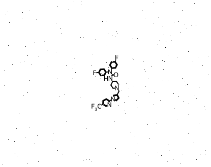 O=C(NC1CCN(Cc2ccn(-c3ccc(C(F)(F)F)cn3)c2)CC1)N(c1ccc(F)cc1)c1ccc(F)cc1